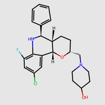 OC1CCN(C[C@H]2CC[C@@H]3[C@H](O2)c2cc(Cl)cc(F)c2N[C@H]3c2ccccc2)CC1